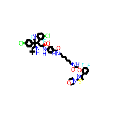 COc1cc(C(=O)NCCCCCCNC(=O)COc2c(-c3csc(N4CCOCC4)n3)ccc(F)c2F)ccc1NC(=O)C1NC(CC(C)(C)C)C(C#N)(c2ccc(Cl)cc2F)C1c1cccc(Cl)c1F